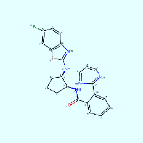 O=C(N[C@H]1CCC[C@H]1Nc1nc2ccc(F)cc2s1)c1ccccc1-c1ncccn1